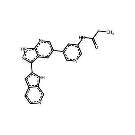 CCC(=O)Nc1cncc(-c2cnc3[nH]nc(-c4cc5ccncc5[nH]4)c3c2)c1